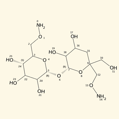 NOCC1O[C@H](O[C@H]2OC(CO)(CON)CC(O)C2O)C(O)C(O)[C@@H]1O